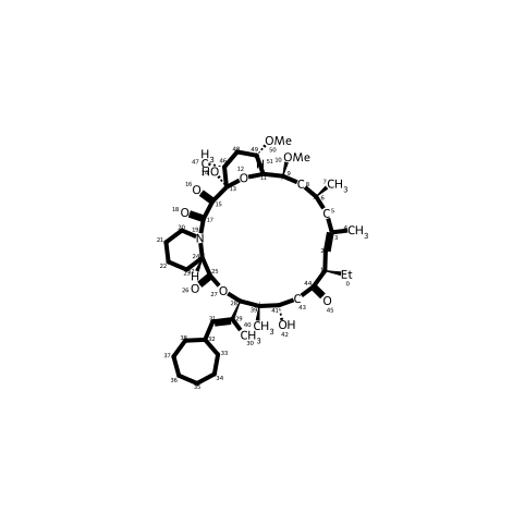 CC[C@@H]1/C=C(\C)C[C@H](C)C[C@H](OC)[C@H]2O[C@@](O)(C(=O)C(=O)N3CCCC[C@H]3C(=O)O[C@H](/C(C)=C/C3CCCCCC3)[C@H](C)[C@@H](O)CC1=O)[C@H](C)C[C@@H]2OC